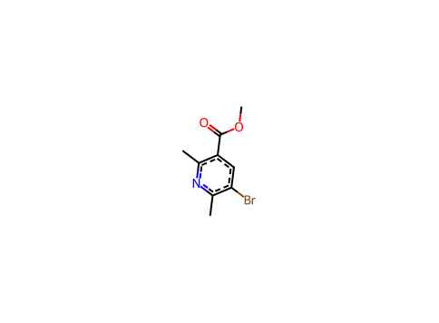 COC(=O)c1cc(Br)c(C)nc1C